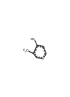 CC(C)(C)c1ccncc1C(F)(F)F